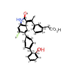 CC(=C1C(=O)Nc2cc(F)c(-c3ccc(-c4ccccc4O)cc3)cc21)c1cccc(CC(=O)O)c1